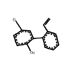 C=Cc1ccccc1-c1cc(Cl)ccc1O